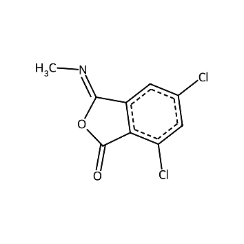 CN=C1OC(=O)c2c(Cl)cc(Cl)cc21